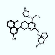 CN(c1nc(OC[C@@]23CCCN2C[C@H](F)C3)nc2c1CCN(c1cc(O)cc3cccc(Cl)c13)C2)[C@@H]1CCNC1